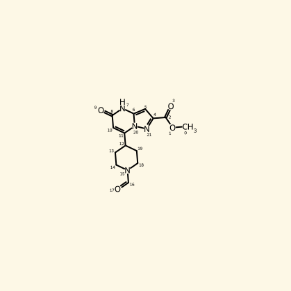 COC(=O)c1cc2[nH]c(=O)cc(C3CCN(C=O)CC3)n2n1